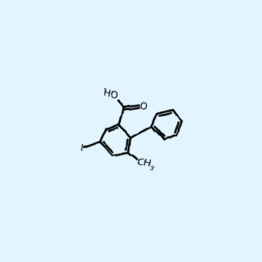 Cc1cc(I)cc(C(=O)O)c1-c1ccccc1